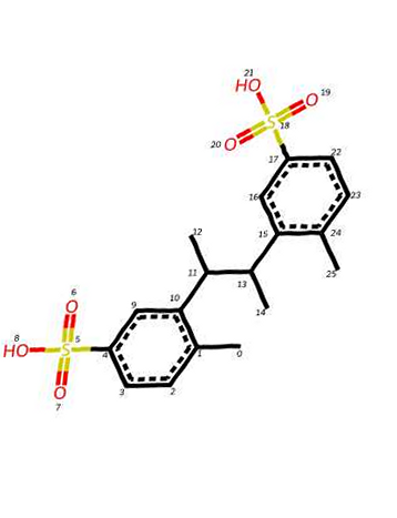 Cc1ccc(S(=O)(=O)O)cc1C(C)C(C)c1cc(S(=O)(=O)O)ccc1C